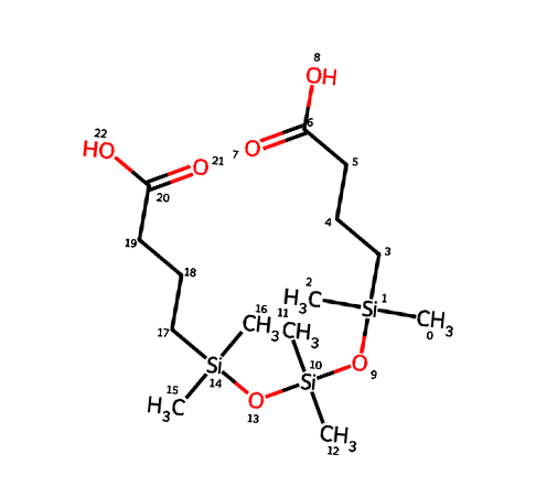 C[Si](C)(CCCC(=O)O)O[Si](C)(C)O[Si](C)(C)CCCC(=O)O